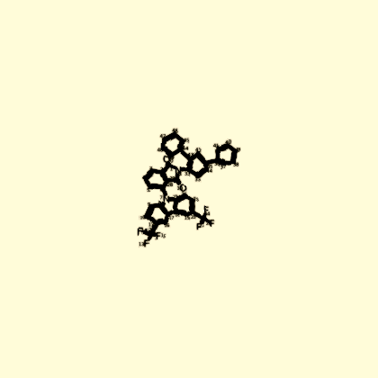 O=C1c2cccc(-n3c4ccc(C(F)(F)F)cc4c4cc(C(F)(F)F)ccc43)c2C(=O)N1c1ccc(-c2ccccc2)cc1-c1ccccc1